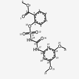 COC(=O)c1ccccc1OS(=O)(=O)NC(=O)Nc1nc(OC)cc(OC)n1